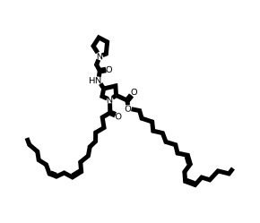 CCCCC/C=C\C/C=C\CCCCCCCCOC(=O)C1CC(NC(=O)CN2CCCC2)CN1C(=O)CCCCCCC/C=C\C/C=C\CCCCC